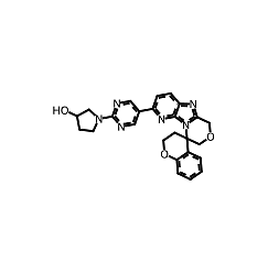 OC1CCN(c2ncc(-c3ccc4nc5n(c4n3)C3(CCOc4ccccc43)COC5)cn2)C1